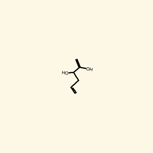 C=CC[C](O)C(=C)O